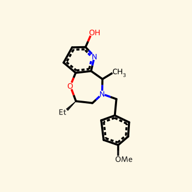 CC[C@@H]1CN(Cc2ccc(OC)cc2)C(C)c2nc(O)ccc2O1